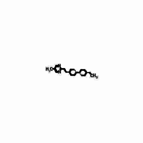 CC[C@H]1CC[C@H]([C@H]2CC[C@H](CCc3ncc(C)cn3)CC2)CC1